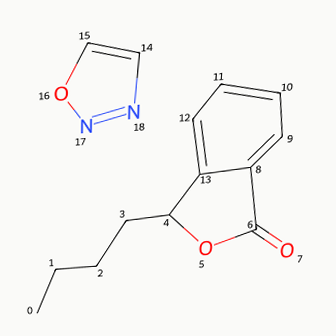 CCCCC1OC(=O)c2ccccc21.c1conn1